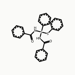 O=C(NS(NC(=O)c1ccccc1)(Sc1ccccc1)c1ccccc1)c1ccccc1